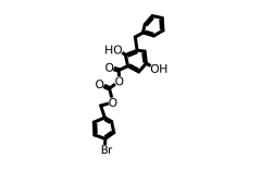 O=C(OCc1ccc(Br)cc1)OC(=O)c1cc(O)cc(Cc2ccccc2)c1O